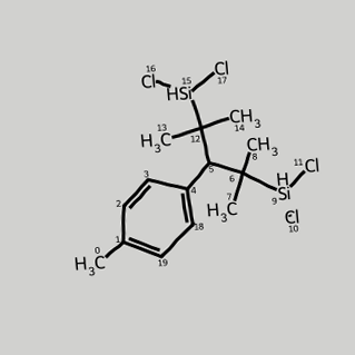 Cc1ccc(C(C(C)(C)[SiH](Cl)Cl)C(C)(C)[SiH](Cl)Cl)cc1